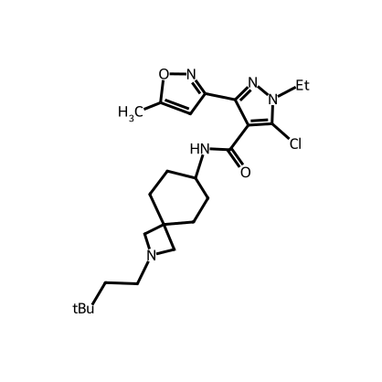 CCn1nc(-c2cc(C)on2)c(C(=O)NC2CCC3(CC2)CN(CCC(C)(C)C)C3)c1Cl